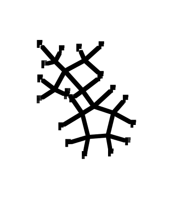 FC(F)(F)C(C(F)(F)F)(C(F)(F)F)C(F)(F)C1(F)C(F)(F)C(F)(F)C(F)(F)C1(F)F